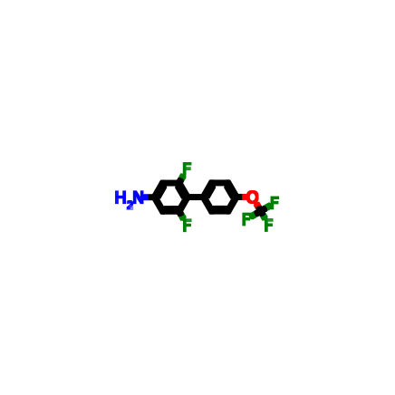 Nc1cc(F)c(-c2ccc(OC(F)(F)F)cc2)c(F)c1